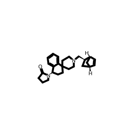 O=C1CCCN1[C@H]1CCC2(CCN(C[C@@H]3C[C@H]4C=C[C@H]3C4)CC2)c2ccccc21